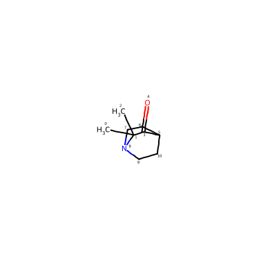 CC1(C)C(=O)C2CCN1CC2